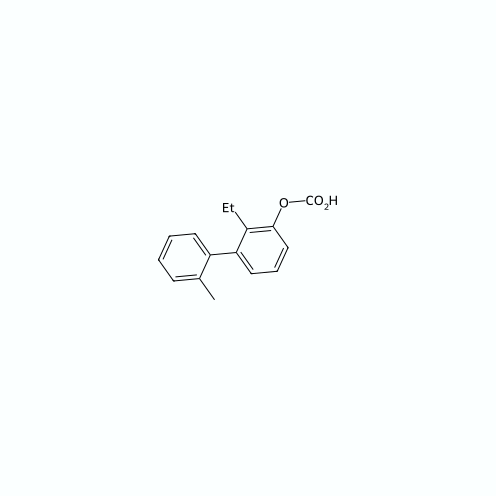 CCc1c(OC(=O)O)cccc1-c1ccccc1C